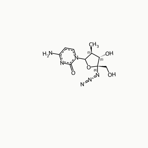 C[C@@H]1C(n2ccc(N)nc2=O)O[C@@](CO)(N=[N+]=[N-])[C@H]1O